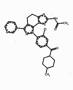 CC(=O)Nc1nc2c(s1)-c1c(c(-c3cccnc3)nn1-c1ccc(C(=O)N3CCN(C)CC3)cc1Cl)CC2